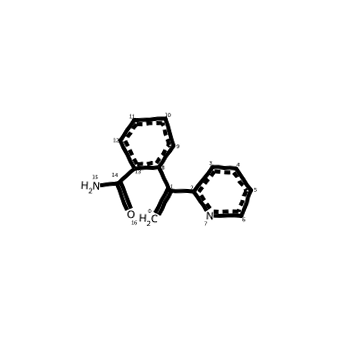 C=C(c1ccccn1)c1ccccc1C(N)=O